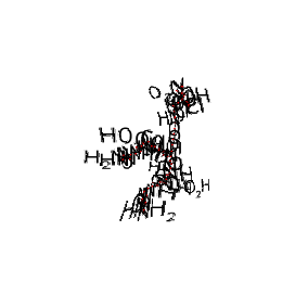 Nc1nc2nc(CNc3ccc(C(=O)NC(CCC(=O)NCCNC(=O)CCN(CCCOCCOCCOCCCNC(=O)CCCC(=O)OCC(NC(=O)C(Cl)Cl)C(O)c4ccc([N+](=O)[O-])cc4)CCC(=O)NCCNC(=O)CCC(NC(=O)c4ccc(NCc5cnc6c(=O)[nH]c(N)nc6n5)cc4)C(=O)O)C(=O)O)cc3)cnc2c(=O)[nH]1